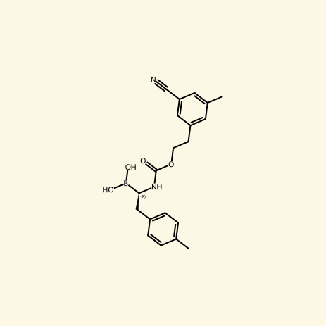 Cc1ccc(C[C@H](NC(=O)OCCc2cc(C)cc(C#N)c2)B(O)O)cc1